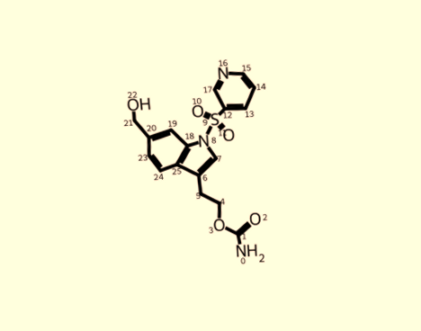 NC(=O)OCCc1cn(S(=O)(=O)c2cccnc2)c2cc(CO)ccc12